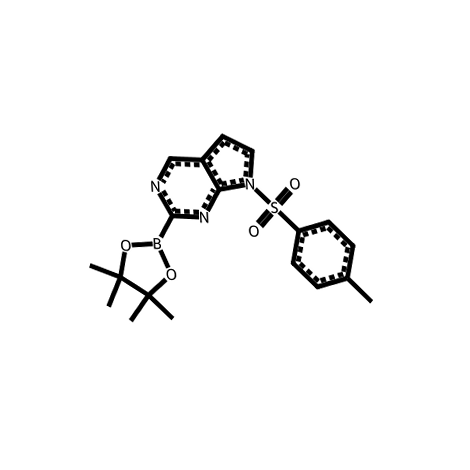 Cc1ccc(S(=O)(=O)n2ccc3cnc(B4OC(C)(C)C(C)(C)O4)nc32)cc1